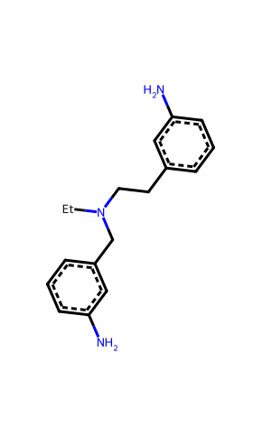 CCN(CCc1cccc(N)c1)Cc1cccc(N)c1